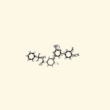 C[C@@H]1CC[C@H](C(=O)NC(C)(C)c2ccccc2)CN1c1cc(-c2ccc(C#N)c(F)c2)nc(N)n1